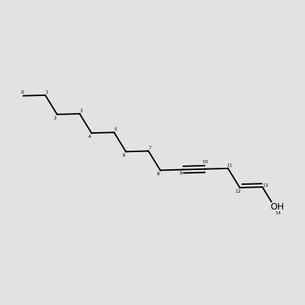 CCCCCCCCCC#CCC=CO